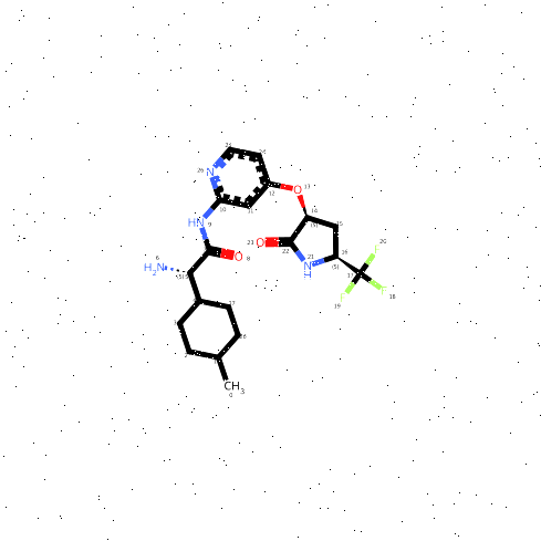 CC1CCC([C@H](N)C(=O)Nc2cc(O[C@H]3C[C@@H](C(F)(F)F)NC3=O)ccn2)CC1